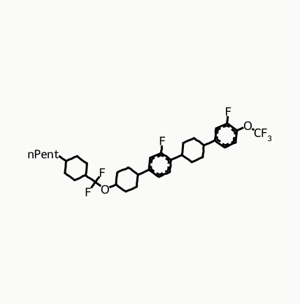 CCCCCC1CCC(C(F)(F)OC2CCC(c3ccc(C4CCC(c5ccc(OC(F)(F)F)c(F)c5)CC4)c(F)c3)CC2)CC1